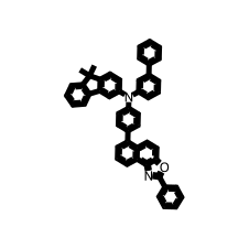 CC1(C)c2ccccc2-c2cc(N(c3ccc(-c4cccc5c4ccc4oc(-c6ccccc6)nc45)cc3)c3cccc(-c4ccccc4)c3)ccc21